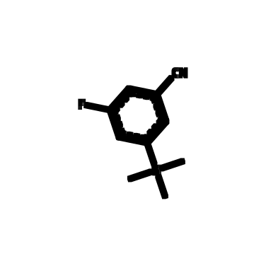 C[Si](C)(C)c1cc(F)cc(C#N)c1